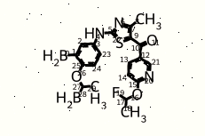 Bc1cc(Nc2nc(C)c(C(=O)c3ccc(OC(C)F)nc3)s2)ccc1OC(B)C